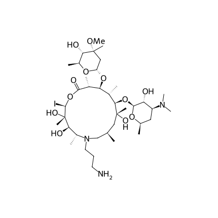 CO[C@]1(C)C[C@H](O[C@H]2[C@H](C)[C@@H](O[C@@H]3O[C@H](C)C[C@H](N(C)C)[C@H]3O)[C@](C)(O)C[C@@H](C)CN(CCCN)[C@H](C)[C@@H](O)[C@](C)(O)[C@@H](I)OC(=O)[C@@H]2C)O[C@@H](C)[C@@H]1O